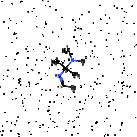 CC/C=N\C(C)(C)N(C)CC